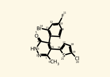 Cc1n[nH]c(=O)c(-c2ccc(F)cc2Br)c1-c1ccc(Cl)s1